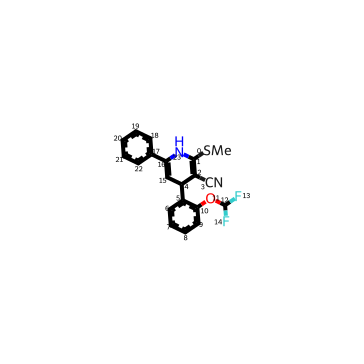 CSC1=C(C#N)C(c2ccccc2OC(F)F)C=C(c2ccccc2)N1